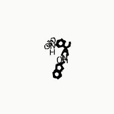 CCC1(c2cccc(NS(C)(=O)=O)c2)C2CN(CC3(O)Cc4ccccc4C3)CC21